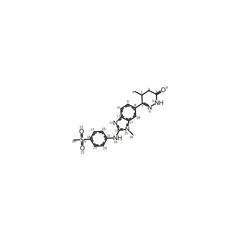 CC1CC(=O)NN=C1c1ccc2nc(Nc3ccc(S(C)(=O)=O)cc3)n(C)c2c1